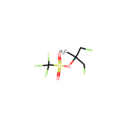 CC(CF)(CF)OS(=O)(=O)C(F)(F)F